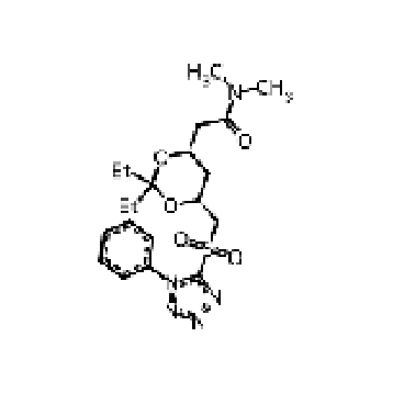 CCC1(CC)O[C@@H](CC(=O)N(C)C)C[C@@H](CS(=O)(=O)c2nnnn2-c2ccccc2)O1